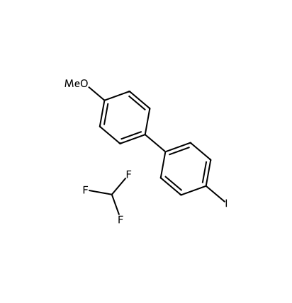 COc1ccc(-c2ccc(I)cc2)cc1.FC(F)F